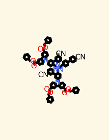 [C-]#[N+]c1cccc(-c2cc(-n3c4ccc(C(=O)OCc5ccccc5)cc4c4cc(C(=O)OCc5ccccc5)ccc43)ccc2-c2nc(-c3ccc(-c4ccc(C#N)cc4)cc3)nc(-c3ccc(-n4c5ccc(C(=O)OCc6ccccc6)cc5c5cc(C(=O)OCc6ccccc6)ccc54)cc3-c3cccc(C#N)c3)n2)c1